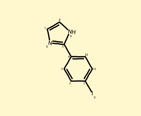 Ic1ccc(-c2ncc[nH]2)cc1